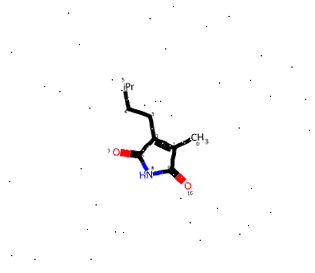 CC1=C(CCC(C)C)C(=O)NC1=O